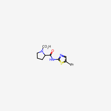 CC(C)c1cnc(NC(=O)C2CCCN2C(=O)O)s1